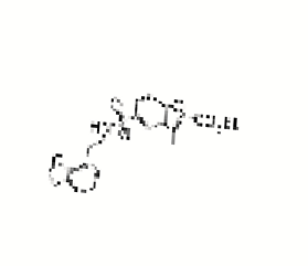 CCOC(=O)c1oc2ccc(S(=O)(=O)NCCc3cccc4c3OCC4)cc2c1C